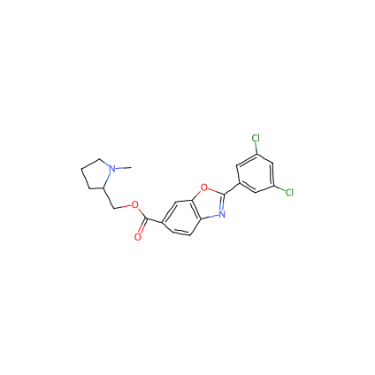 CN1CCCC1COC(=O)c1ccc2nc(-c3cc(Cl)cc(Cl)c3)oc2c1